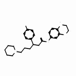 CC(C)(C)c1ccc(C(CCCN2CCCCC2)CC(=O)Nc2ccc3c(c2)OCCO3)cc1